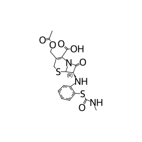 CNC(=O)Sc1ccccc1N[C@@H]1C(=O)N2C(C(=O)O)=C(COC(C)=O)CSC12